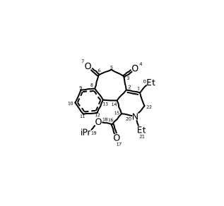 CCC1=C2C(=O)CC(=O)c3ccccc3C2C(C(=O)OC(C)C)N(CC)C1